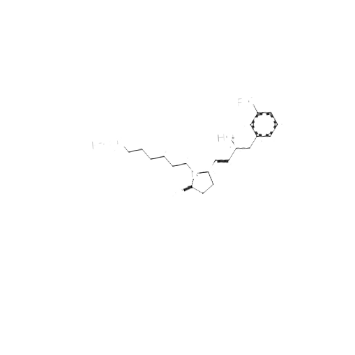 CCOC(=O)CCCCCCN1C(=O)CC[C@@H]1C=C[C@@H](O)Cc1cccc(C(F)(F)F)c1